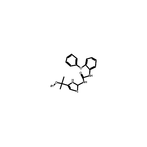 CC(C)OC(C)(C)C1=CSC(NC(=O)Nc2ccccc2Oc2ccccc2)N1